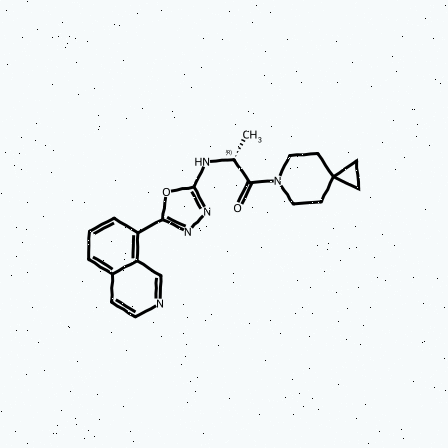 C[C@@H](Nc1nnc(-c2cccc3ccncc23)o1)C(=O)N1CCC2(CC1)CC2